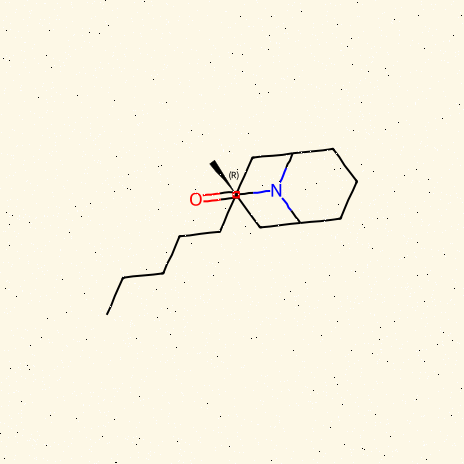 CCCCC[C@@H](C)N1C2CCCC1CC(=O)C2